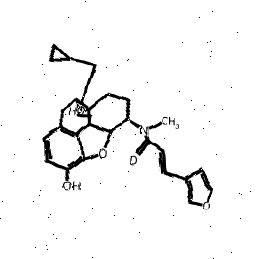 CN(C(=O)/C=C/c1ccoc1)[C@@H]1CC[C@@]2(O)C3Cc4ccc(O)c5c4[C@@]2(CCN3CC2CC2)C1O5